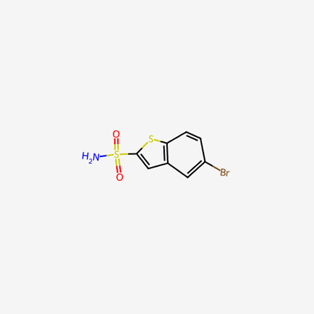 NS(=O)(=O)c1cc2cc(Br)ccc2s1